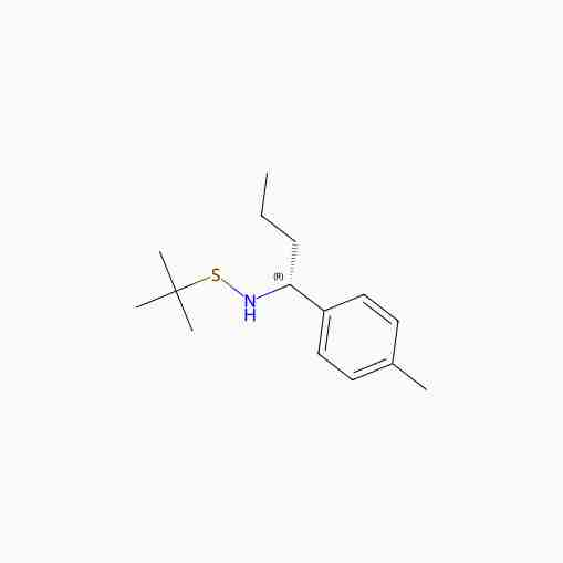 CCC[C@@H](NSC(C)(C)C)c1ccc(C)cc1